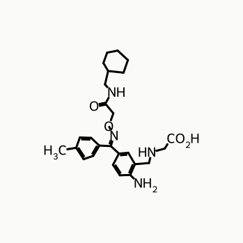 Cc1ccc(/C(=N\OCC(=O)NCC2CCCCC2)c2ccc(N)c(CNCC(=O)O)c2)cc1